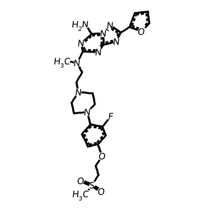 CN(CCN1CCN(c2ccc(OCCS(C)(=O)=O)cc2F)CC1)c1nc(N)n2nc(-c3ccco3)nc2n1